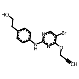 C#CCOc1nc(Nc2ccc(CCO)cc2)ncc1Br